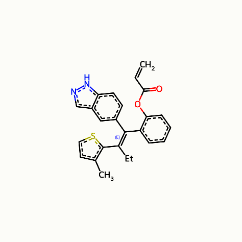 C=CC(=O)Oc1ccccc1/C(=C(\CC)c1sccc1C)c1ccc2[nH]ncc2c1